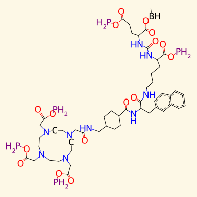 CBOC(=O)C(CCC(=O)OP)NC(=O)NC(CCCCNC(=O)C(Cc1ccc2ccccc2c1)NC(=O)C1CCC(CNC(=O)CN2CCN(CC(=O)OP)CCN(CC(=O)OP)CCN(CC(=O)OP)CC2)CC1)C(=O)OP